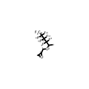 CC(OCC1CO1)C(F)(F)C(F)(F)C(F)(F)C(F)(F)F